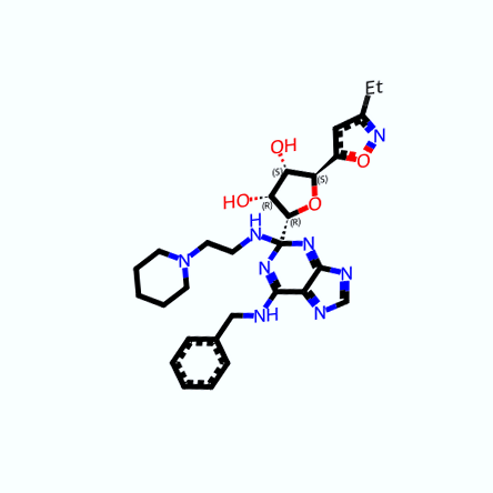 CCc1cc([C@H]2O[C@H](C3(NCCN4CCCCC4)N=C4N=CN=C4C(NCc4ccccc4)=N3)[C@H](O)[C@@H]2O)on1